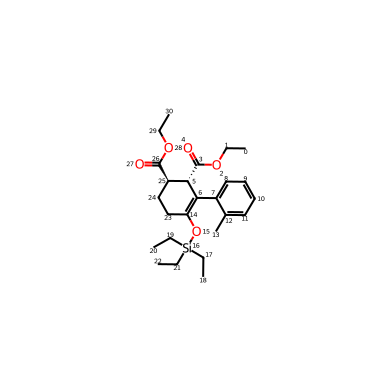 CCOC(=O)[C@@H]1C(c2ccccc2C)=C(O[Si](CC)(CC)CC)CC[C@H]1C(=O)OCC